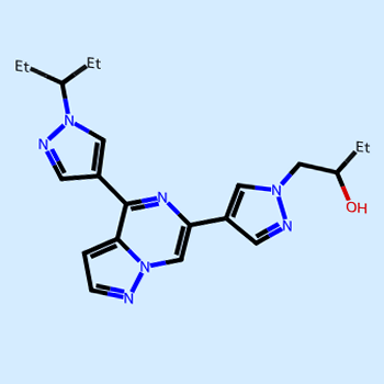 CCC(O)Cn1cc(-c2cn3nccc3c(-c3cnn(C(CC)CC)c3)n2)cn1